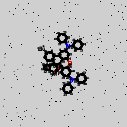 CC(C)(C)c1ccc2c(c1)-c1cc(N(c3ccccc3)c3ccccc3)cc3c1B(c1ccc(N(c4ccccc4)c4ccccc4)cc1O3)C21c2ccccc2-c2ccccc21